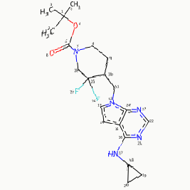 CC(C)(C)OC(=O)N1CCC(Cn2ccc3c(NC4CC4)ncnc32)C(F)(F)C1